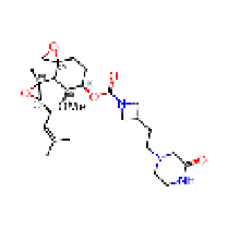 CO[C@H]1C([C@@]2(C)O[C@@H]2CC=C(C)C)[C@]2(CC[C@H]1OC(=O)N1CC(CCN3CCNC(=O)C3)C1)CO2